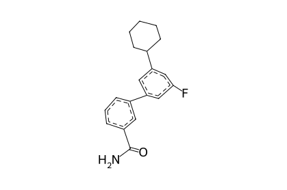 NC(=O)c1cccc(-c2cc(F)cc(C3CCCCC3)c2)c1